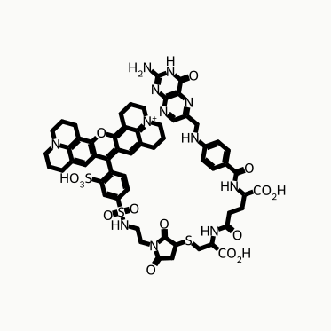 Nc1nc2ncc(CNc3ccc(C(=O)NC(CCC(=O)NC(CSC4CC(=O)N(CCNS(=O)(=O)c5ccc(C6=c7cc8c9c(c7Oc7c6cc6c%10c7CCCN%10CCC6)CCC[N+]=9CCC8)c(S(=O)(=O)O)c5)C4=O)C(=O)O)C(=O)O)cc3)nc2c(=O)[nH]1